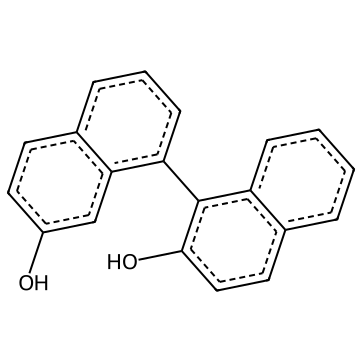 Oc1ccc2cccc(-c3c(O)ccc4ccccc34)c2c1